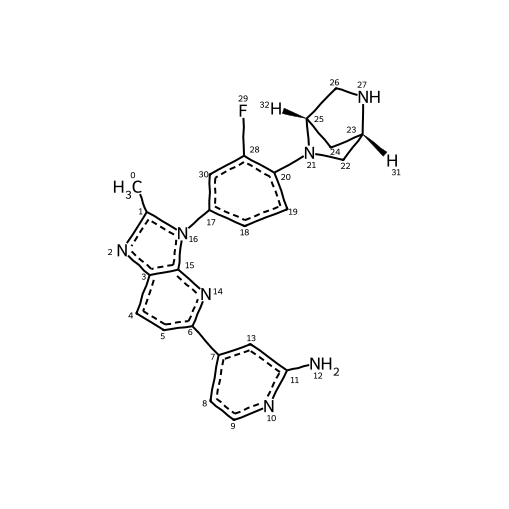 Cc1nc2ccc(-c3ccnc(N)c3)nc2n1-c1ccc(N2C[C@@H]3C[C@H]2CN3)c(F)c1